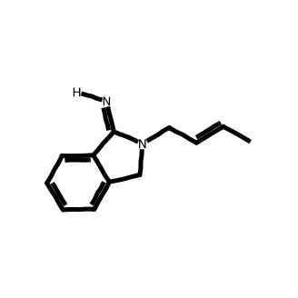 [H]/N=C1\c2ccccc2CN1CC=CC